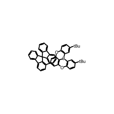 CC(C)(C)c1ccc2c(c1)B1c3cc(C(C)(C)C)ccc3Oc3cc(-c4cccc5c4C4(c6ccccc6-c6ccccc64)c4ccccc4-5)cc(c31)O2